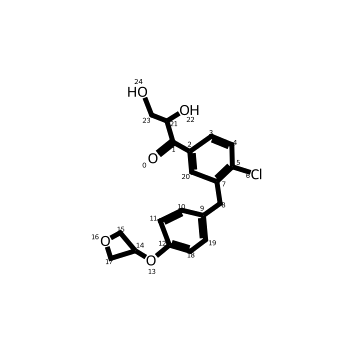 O=C(c1ccc(Cl)c(Cc2ccc(OC3COC3)cc2)c1)C(O)CO